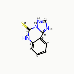 S=c1[nH]c2ccccc2c2ncnn12